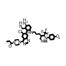 C=CC(=O)N1CCN(c2ncnc3cc(-c4c(NCCC/C(C=N)=C(/Nc5ccc(OC)cc5)C(F)(F)F)ccc(N)c4C=N)c(Cl)cc23)CC1